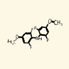 COc1cc(F)c(Bc2c(F)cc(OC)cc2F)c(F)c1